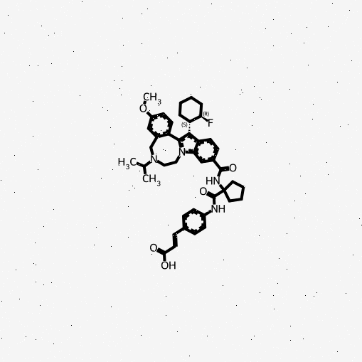 COc1ccc2c(c1)CN(C(C)C)CCn1c-2c([C@@H]2CCCC[C@H]2F)c2ccc(C(=O)NC3(C(=O)Nc4ccc(C=CC(=O)O)cc4)CCCC3)cc21